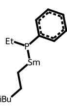 CCC(C)C[CH2][Sm][P](CC)c1ccccc1